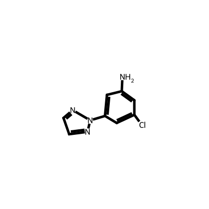 Nc1cc(Cl)cc(-n2nccn2)c1